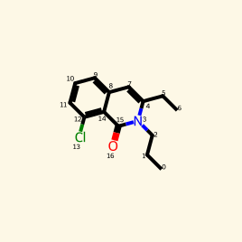 CCCn1c(CC)cc2cccc(Cl)c2c1=O